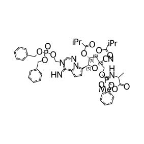 COC(=O)C(C)N[P@](=O)(OC[C@@]1(C#N)O[C@@H](c2ccc3c(=N)n(COP(=O)(OCc4ccccc4)OCc4ccccc4)cnn23)[C@H](OC(=O)C(C)C)[C@@H]1OC(=O)C(C)C)Oc1ccccc1